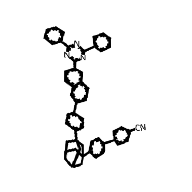 N#Cc1ccc(-c2ccc(C34CC5CC(C3)CC(c3ccc(-c6ccc7cc(-c8nc(-c9ccccc9)nc(-c9ccccc9)n8)ccc7c6)cc3)(C5)C4)cc2)cc1